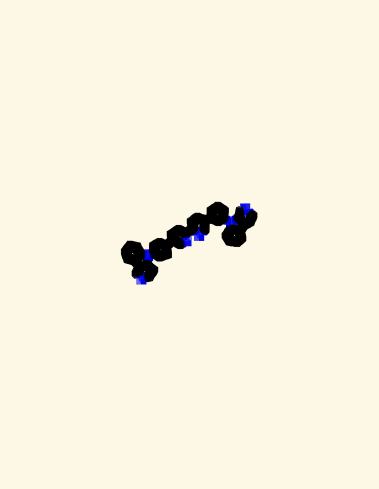 C1=CC2c3ccccc3N(c3cccc(-c4ccc(-c5ccc(-c6ccc(-n7c8ccccc8c8cnccc87)cc6)cn5)nc4)c3)C2C=N1